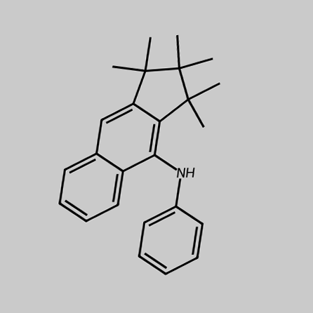 CC1(C)c2cc3ccccc3c(Nc3ccccc3)c2C(C)(C)C1(C)C